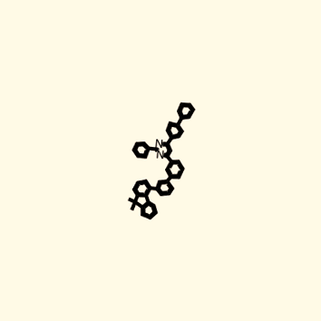 CC1(C)c2ccccc2-c2c(-c3cccc(-c4cccc(-c5cc(-c6ccc(-c7ccccc7)cc6)nc(-c6ccccc6)n5)c4)c3)cccc21